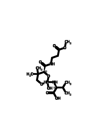 COC(=O)CCNC(=O)[C@@H]1O[PH](O)(N[C@H](C(=O)O)C(C)C)OCC1(C)C